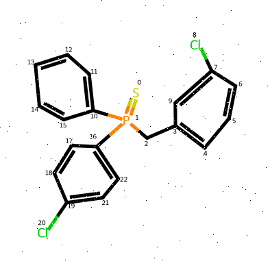 S=P(Cc1cccc(Cl)c1)(c1ccccc1)c1ccc(Cl)cc1